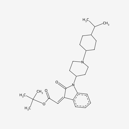 CC(C)C1CCC(N2CCC(N3C(=O)C(=CC(=O)OC(C)(C)C)c4ccccc43)CC2)CC1